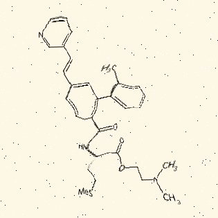 CSCC[C@H](NC(=O)c1ccc(C=Cc2cccnc2)cc1-c1ccccc1C)C(=O)OCCN(C)C